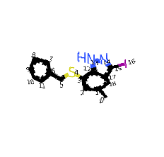 Cc1cc(SCc2ccccc2)c2[nH]nc(I)c2c1